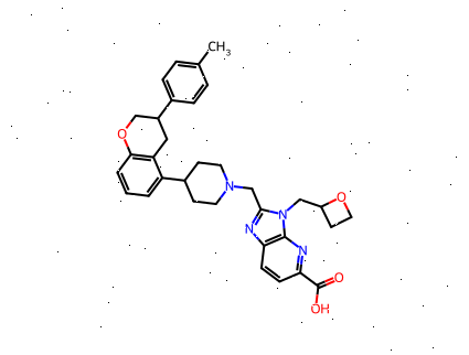 Cc1ccc(C2COc3cccc(C4CCN(Cc5nc6ccc(C(=O)O)nc6n5CC5CCO5)CC4)c3C2)cc1